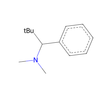 CN(C)C(c1ccccc1)C(C)(C)C